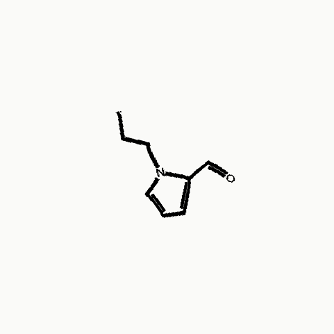 [CH2]CCn1cccc1C=O